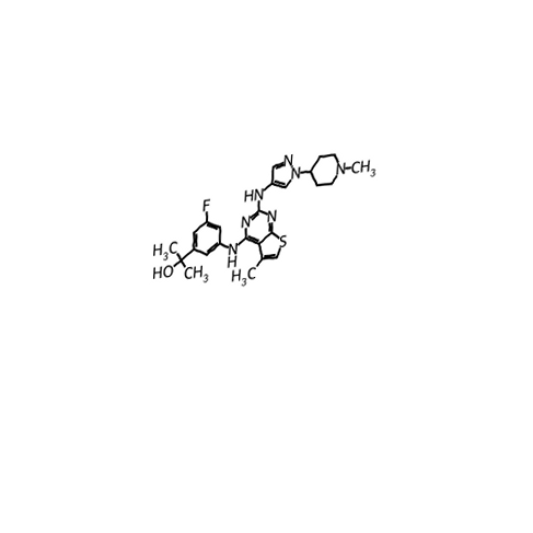 Cc1csc2nc(Nc3cnn(C4CCN(C)CC4)c3)nc(Nc3cc(F)cc(C(C)(C)O)c3)c12